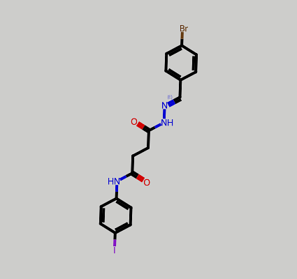 O=C(CCC(=O)Nc1ccc(I)cc1)N/N=C/c1ccc(Br)cc1